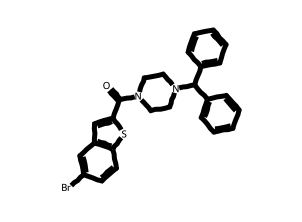 O=C(c1cc2cc(Br)ccc2s1)N1CCN(C(c2ccccc2)c2ccccc2)CC1